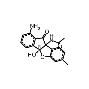 CC(=O)NC12C(=O)c3c(N)cccc3[C@@]1(O)Oc1cc(C)ccc12